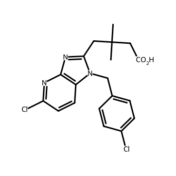 CC(C)(CC(=O)O)Cc1nc2nc(Cl)ccc2n1Cc1ccc(Cl)cc1